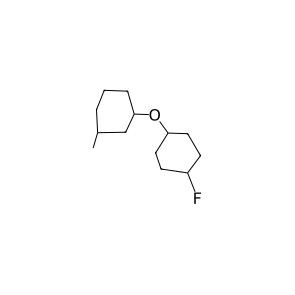 CC1CCCC(OC2CCC(F)CC2)C1